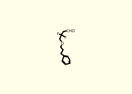 O=CCC(F)(F)COCCCc1ccccc1